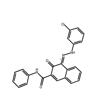 O=C(Nc1ccccc1)C1=Cc2ccccc2/C(=N\Nc2cccc(Cl)c2)C1=O